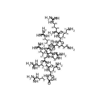 N=C(N)NCCC[C@H](NC(=O)[C@H](CCC(N)=O)NC(=O)[C@H](CCCNC(=N)N)NC(=O)[C@H](CCCNC(=N)N)NC(=O)[C@H](CCCNC(=N)N)NC(=O)[C@H](CCCNC(=N)N)NC(=O)[C@H](CCCCN)NC(=O)[C@H](CCCCN)NC(=O)[C@@H](N)CCCNC(=N)N)C(=O)O